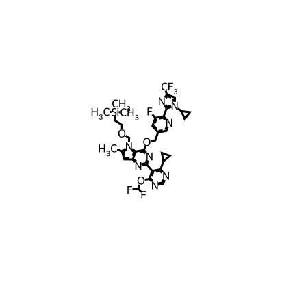 Cc1cc2nc(-c3c(OC(F)F)ncnc3C3CC3)nc(OCc3cnc(-c4nc(C(F)(F)F)cn4C4CC4)c(F)c3)c2n1COCC[Si](C)(C)C